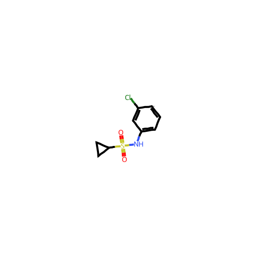 O=S(=O)(Nc1cc[c]c(Cl)c1)C1CC1